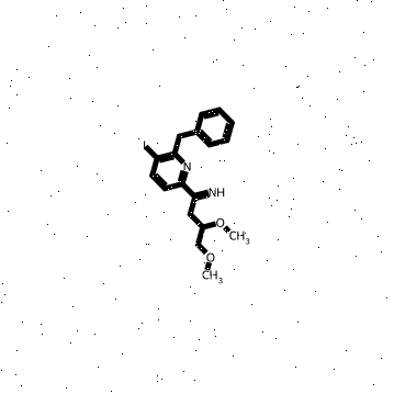 COCC(CC(=N)c1ccc(I)c(Cc2ccccc2)n1)OC